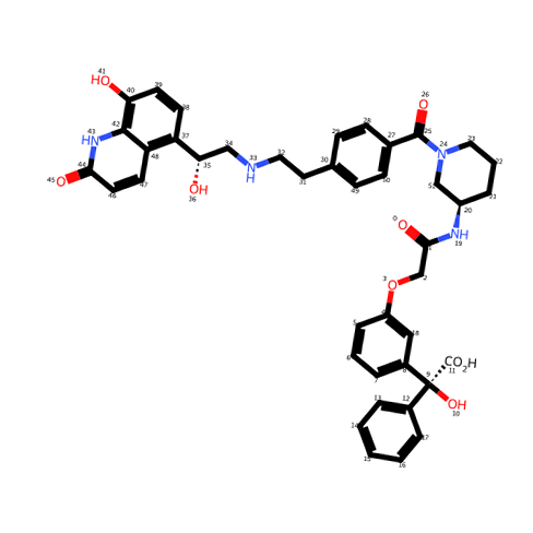 O=C(COc1cccc([C@](O)(C(=O)O)c2ccccc2)c1)N[C@@H]1CCCN(C(=O)c2ccc(CCNC[C@H](O)c3ccc(O)c4[nH]c(=O)ccc34)cc2)C1